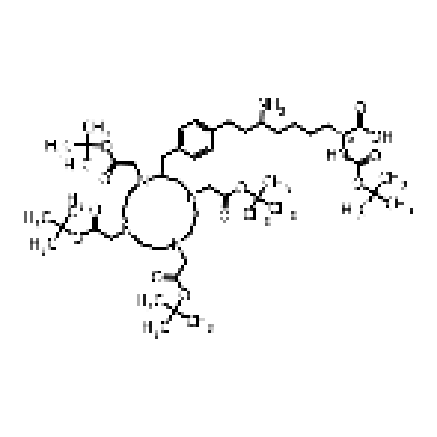 CC(C)(C)OC(=O)CN1CCN(CC(=O)OC(C)(C)C)CCN(CC(=O)OC(C)(C)C)C(Cc2ccc(CCC(N)CCCC[C@H](NC(=O)OC(C)(C)C)C(=O)O)cc2)CN(CC(=O)OC(C)(C)C)CC1